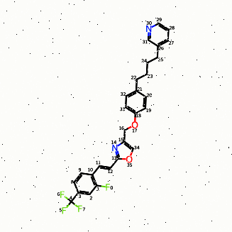 Fc1cc(C(F)(F)F)ccc1C=Cc1nc(COc2ccc(CCCCc3cccnc3)cc2)co1